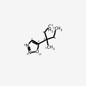 CCC(C)(CC)c1cnno1